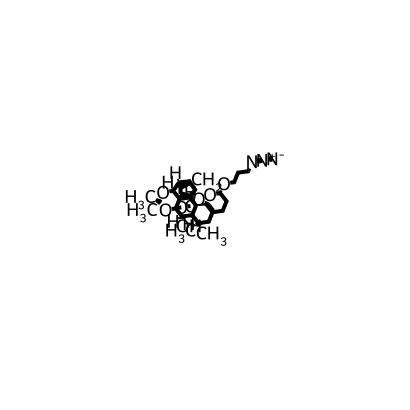 C=C1C(=O)[C@@]23[C@@H]4OC(C)(C)OC25OC[C@]2(C6=C(CC[C@H](OCCCN=[N+]=[N-])O6)CC(C)(C)[C@H]2[C@@H]5O)[C@@H]3CC[C@@H]14